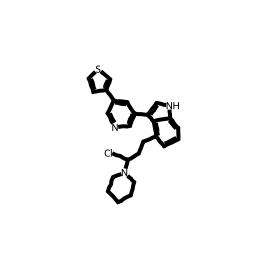 ClC(CCc1cccc2[nH]cc(-c3cncc(-c4ccsc4)c3)c12)N1CCCCC1